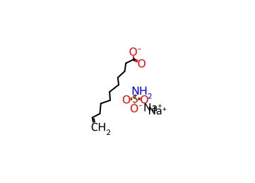 C=CCCCCCCCCC(=O)[O-].NS(=O)(=O)[O-].[Na+].[Na+]